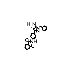 Nc1cc(-c2ccc(NC(=O)c3ccccc3Cl)cc2)nn1Cc1ccccc1